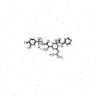 CC(C)CC1CC(C(N)C(=O)NCC(C)(C)c2ccc(Cl)c(Cl)c2)CC(C)(C(=O)Nc2ccncc2)C1